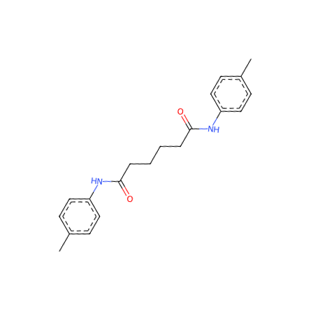 Cc1ccc(NC(=O)CCCCC(=O)Nc2ccc(C)cc2)cc1